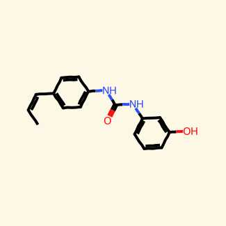 C/C=C\c1ccc(NC(=O)Nc2cccc(O)c2)cc1